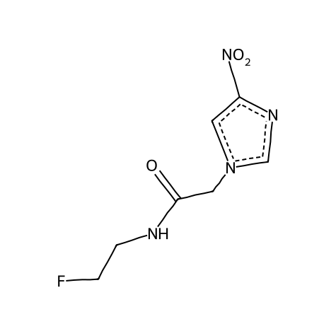 O=C(Cn1cnc([N+](=O)[O-])c1)NCCF